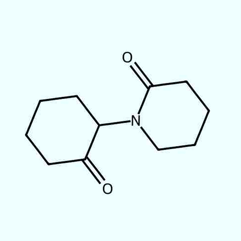 O=C1CCCCC1N1CCCCC1=O